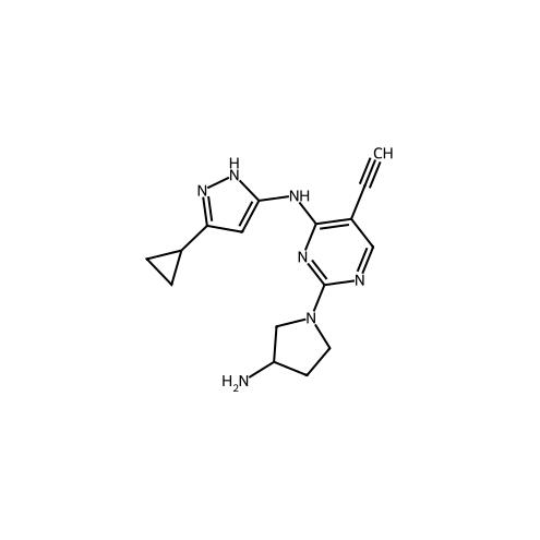 C#Cc1cnc(N2CCC(N)C2)nc1Nc1cc(C2CC2)n[nH]1